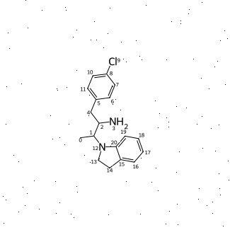 CC(C(N)Cc1ccc(Cl)cc1)N1CCc2ccccc21